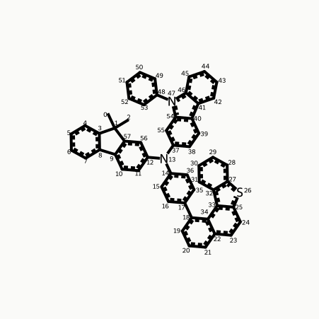 CC1(C)c2ccccc2-c2ccc(N(c3ccc(-c4cccc5ccc6sc7ccccc7c6c45)cc3)c3ccc4c5ccccc5n(-c5ccccc5)c4c3)cc21